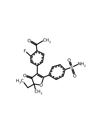 CCC1(C)OC(c2ccc(S(N)(=O)=O)cc2)=C(c2ccc(C(C)=O)c(F)c2)C1=O